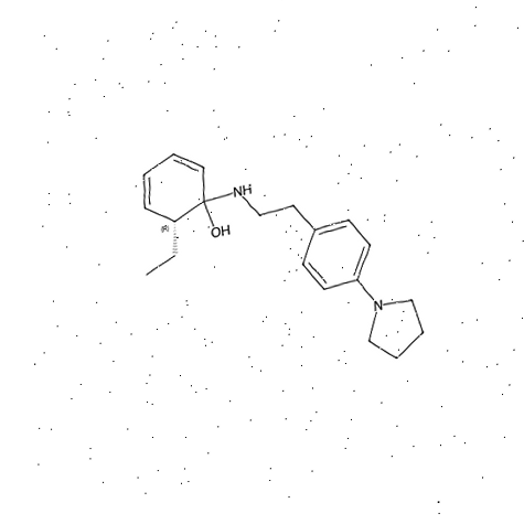 CC[C@@H]1C=CC=CC1(O)NCCc1ccc(N2CCCC2)cc1